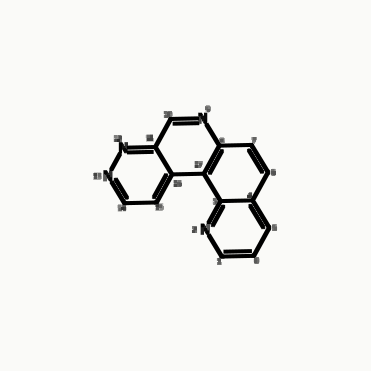 c1cnc2c(c1)ccc1ncc3nnccc3c12